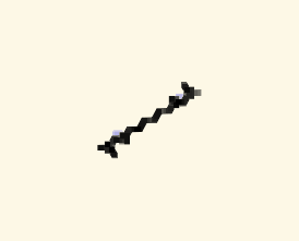 CN(C)/C=N/CCCCCC/N=C/N(C)C